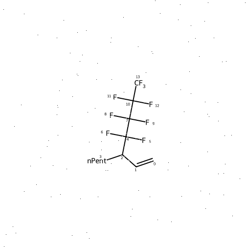 C=CC(CCCCC)C(F)(F)C(F)(F)C(F)(F)C(F)(F)F